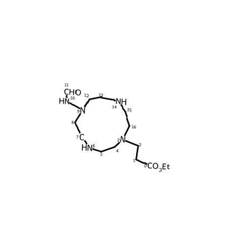 CCOC(=O)CCN1CCNCCN(NC=O)CCNCC1